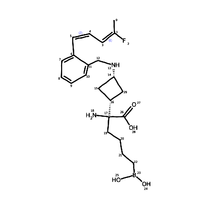 C/C(F)=C\C=C/c1ccccc1CN[C@H]1C[C@@H](C(N)(CCCCB(O)O)C(=O)O)C1